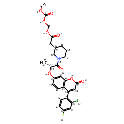 CC(C)OC(=O)OCOC(=O)C[C@H]1CCCN(C(=O)[C@@H](C)Oc2ccc3c(-c4ccc(F)cc4Cl)cc(=O)oc3c2)C1